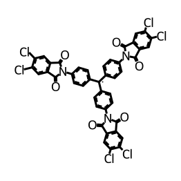 O=C1c2cc(Cl)c(Cl)cc2C(=O)N1c1ccc([C](c2ccc(N3C(=O)c4cc(Cl)c(Cl)cc4C3=O)cc2)c2ccc(N3C(=O)c4cc(Cl)c(Cl)cc4C3=O)cc2)cc1